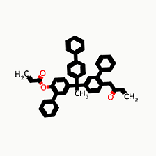 C=CC(=O)Cc1ccc(C(C)(c2ccc(-c3ccccc3)cc2)c2ccc(OC(=O)C=C)c(-c3ccccc3)c2)cc1-c1ccccc1